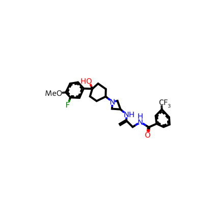 C=C(CNC(=O)c1cccc(C(F)(F)F)c1)NC1CN(C2CCC(O)(c3ccc(OC)c(F)c3)CC2)C1